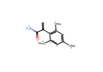 C=C(C(N)=O)c1c(OC)cc(OC)cc1OC